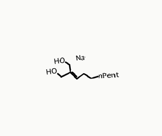 CCCCCCCC=C(CO)CO.[Na]